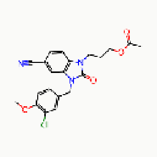 COc1ccc(Cn2c(=O)n(CCCOC(C)=O)c3ccc(C#N)cc32)cc1Cl